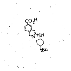 CC(C)(C)[C@H]1CC[C@H](Nc2cc3cc(C(=O)O)ccc3cn2)CC1